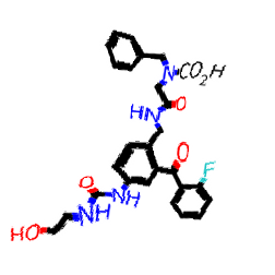 O=C(CN(Cc1ccccc1)C(=O)O)NCc1ccc(NC(=O)NCCO)cc1C(=O)c1ccccc1F